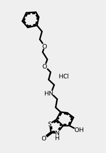 Cl.O=c1[nH]c2c(O)ccc(CCNCCCOCCOCCc3ccccc3)c2s1